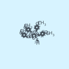 [2H]CCSC1O[C@H](COCc2ccc(OC)cc2)[C@@H](OCc2ccc(OC)cc2)[C@H](OCc2ccc(OC)cc2)[C@H]1OCc1ccc(OC)cc1